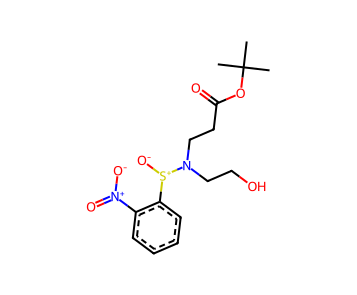 CC(C)(C)OC(=O)CCN(CCO)[S+]([O-])c1ccccc1[N+](=O)[O-]